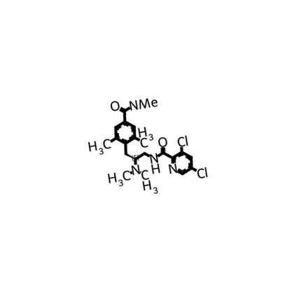 CNC(=O)c1cc(C)c(C[C@@H](CNC(=O)c2ncc(Cl)cc2Cl)N(C)C)c(C)c1